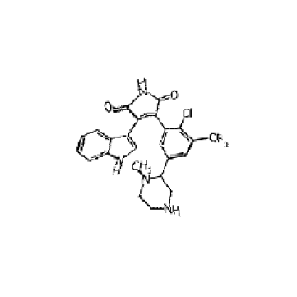 CN1CCNCC1c1cc(C2=C(c3c[nH]c4ccccc34)C(=O)NC2=O)c(Cl)c(C(F)(F)F)c1